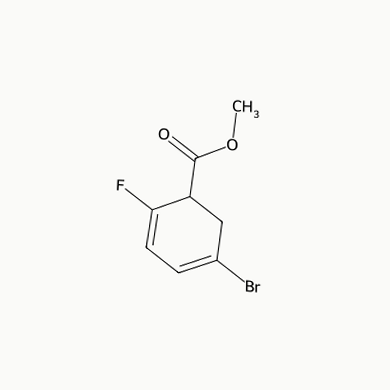 COC(=O)C1CC(Br)=CC=C1F